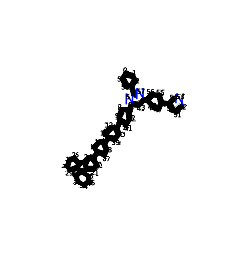 c1ccc(-c2nc(-c3ccc(-c4ccc(-c5ccc(-c6ccc7c(c6)-c6ccccc6C76CCCCC6)cc5)cc4)cc3)cc(-c3ccc(-c4cccnc4)cc3)n2)cc1